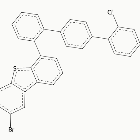 Clc1ccccc1-c1ccc(-c2ccccc2-c2cccc3c2sc2ccc(Br)cc23)cc1